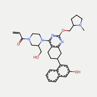 C=CC(=O)N1CCN(c2nc(OCC3CCCN3C)nc3c2CCC(c2cc(O)cc4ccccc24)C3)C(CO)C1